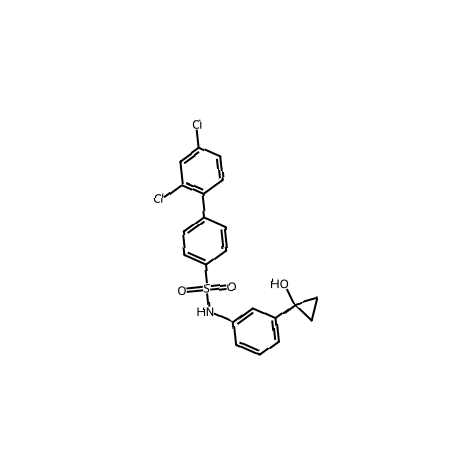 O=S(=O)(Nc1cccc(C2(O)CC2)c1)c1ccc(-c2ccc(Cl)cc2Cl)cc1